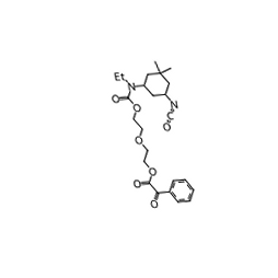 CCN(C(=O)OCCOCCOC(=O)C(=O)c1ccccc1)C1CC(N=C=O)CC(C)(C)C1